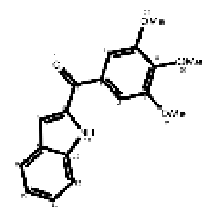 COc1cc(C(=O)c2cc3ccccc3[nH]2)cc(OC)c1OC